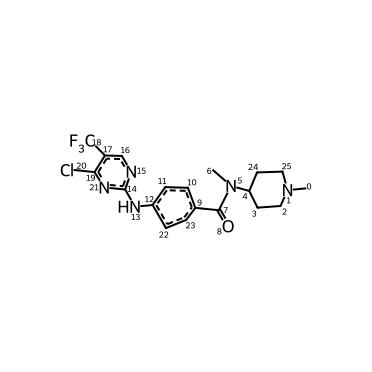 CN1CCC(N(C)C(=O)c2ccc(Nc3ncc(C(F)(F)F)c(Cl)n3)cc2)CC1